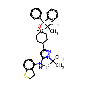 CC(C)(C)n1nc(C2CCC(O[Si](c3ccccc3)(c3ccccc3)C(C)(C)C)CC2)cc1Nc1cccc2c1CCS2